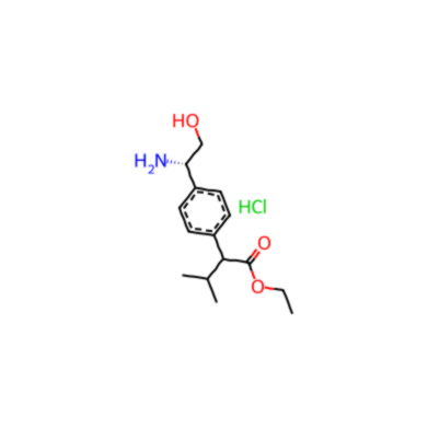 CCOC(=O)C(c1ccc([C@H](N)CO)cc1)C(C)C.Cl